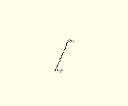 CCCCCCCCCCC=CCCCCCCCCCCCCCCCCC(=O)O